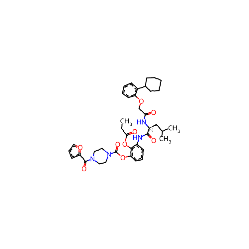 CCC(=O)Oc1c(NC(=O)[C@H](CC(C)C)NC(=O)COc2ccccc2C2CCCCC2)cccc1OC(=O)N1CCN(C(=O)c2ccco2)CC1